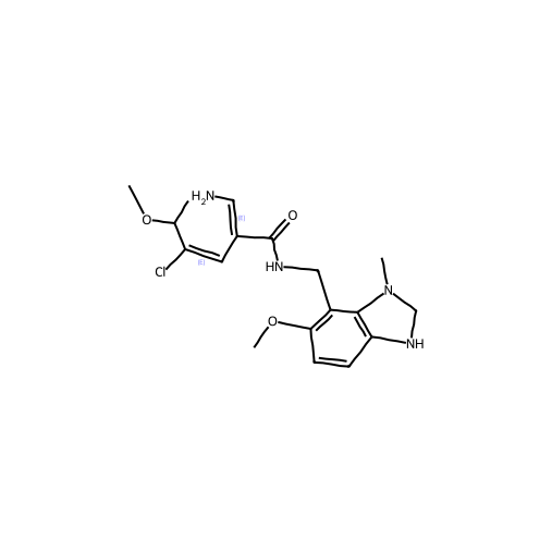 COc1ccc2c(c1CNC(=O)C(=C/N)/C=C(/Cl)C(C)OC)N(C)CN2